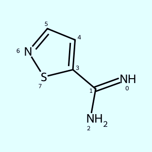 N=C(N)c1ccns1